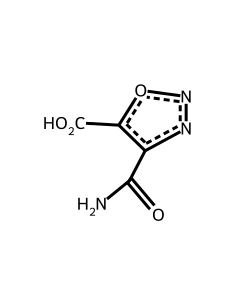 NC(=O)c1nnoc1C(=O)O